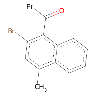 CCC(=O)c1c(Br)cc(C)c2ccccc12